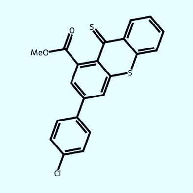 COC(=O)c1cc(-c2ccc(Cl)cc2)cc2sc3ccccc3c(=S)c12